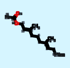 CCCCCCCCCC/C=C(\C)CCC/C(C)=C/COC(=O)CC